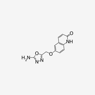 Nc1nnc(COc2ccc3[nH]c(=O)ccc3c2)o1